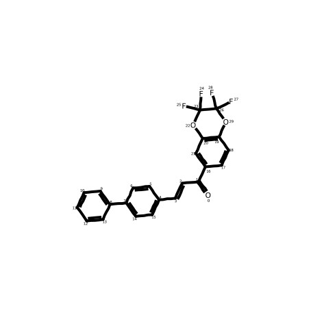 O=C(/C=C/c1ccc(-c2ccccc2)cc1)c1ccc2c(c1)OC(F)(F)C(F)(F)O2